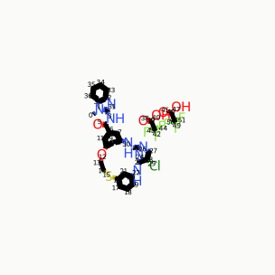 Cn1c(NC(=O)c2cc3cc(c2)OCCSc2cccc(c2)Nc2nc(ncc2Cl)N3)nc2ccccc21.O=C(O)C(F)(F)F.O=C(O)C(F)(F)F